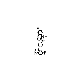 Cc1cc(F)ccc1NC(=O)[C@H](C)[C@H]1CC[C@@H](c2ccnc3ccc(F)cc32)CC1